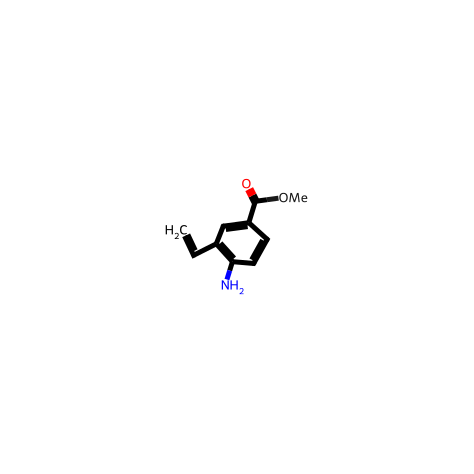 C=Cc1cc(C(=O)OC)ccc1N